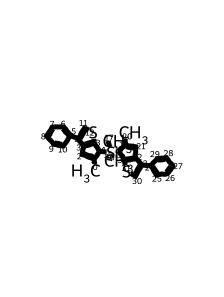 CC1=Cc2c(-c3ccccc3)csc2C1[Si](C)(C)C1C(C)=Cc2c(-c3ccccc3)csc21